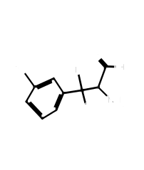 NC(C(=O)O)C(F)(F)c1cccc(Br)c1